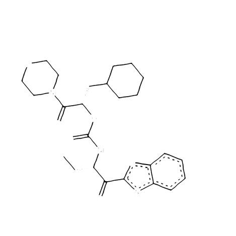 CC[C@H](NC(=O)O[C@@H](CC1CCCCC1)C(=O)N1CCOCC1)C(=O)c1nc2ccccc2o1